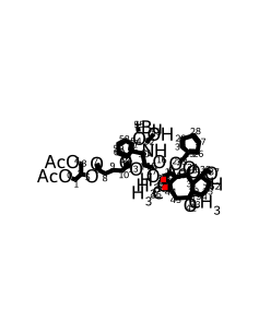 CC(=O)OCC(COC(C)=O)OC(=O)CCCC(=O)OC(C(=O)O[C@H]1CC2[C@@H](OC(=O)c3ccccc3)C3[C@@](C)(CC[C@H]4OC[C@@]34OC(C)=O)C(=O)CC(=C1C)C2(C)C)[C@@H](NC(O)OC(C)(C)C)c1ccccc1